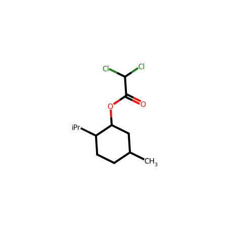 CC1CCC(C(C)C)C(OC(=O)C(Cl)Cl)C1